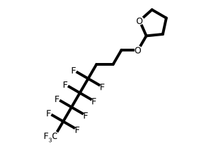 FC(F)(F)C(F)(F)C(F)(F)C(F)(F)C(F)(F)CCCOC1CCCO1